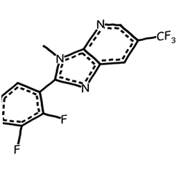 Cn1c(-c2cccc(F)c2F)nc2cc(C(F)(F)F)cnc21